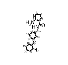 Nc1ncccc1C(=O)NCc1cccc(Oc2ccccc2I)c1